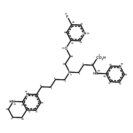 O=C(O)C(CCN(CCCCc1ccc2c(n1)NCCC2)CCOc1cncc(F)c1)Nc1cccnc1